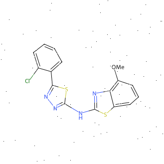 COc1cccc2sc(Nc3nnc(-c4ccccc4Cl)s3)nc12